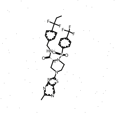 CCC(F)(F)c1ccc(CNC(=O)[C@H]2CN(c3nc4nc(C)ncc4s3)CCN2S(=O)(=O)c2ccc(C(F)(F)F)cc2)cc1